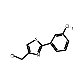 Cc1cccc(-c2nc(CCl)cs2)c1